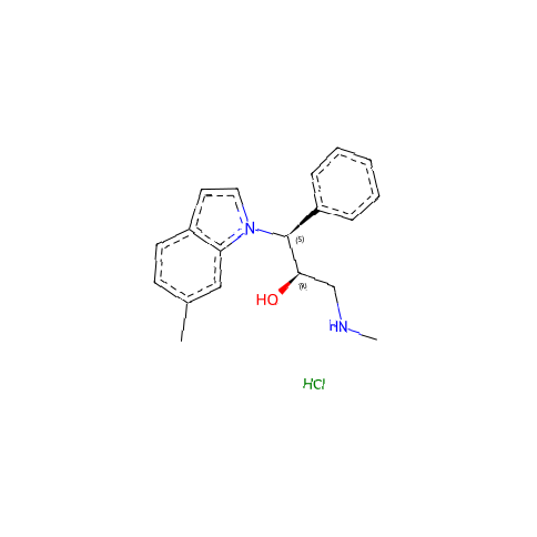 CNC[C@@H](O)[C@H](c1ccccc1)n1ccc2ccc(C)cc21.Cl